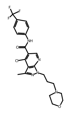 Cc1nn(CCCN2CCOCC2)c2ncc(C(=O)Nc3ccc(C(F)(F)F)cc3)c(Cl)c12